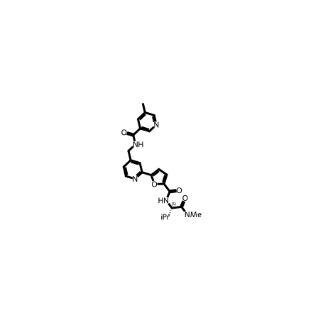 CNC(=O)[C@@H](NC(=O)c1ccc(-c2cc(CNC(=O)c3cncc(C)c3)ccn2)o1)C(C)C